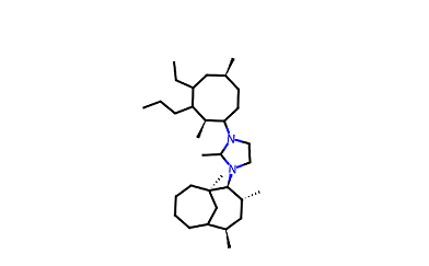 CCCC1C(CC)C[C@@H](C)CCC(N2CCN([C@H]3[C@H](C)C[C@@H](C)C4CCCC[C@]3(C)C4)C2C)[C@H]1C